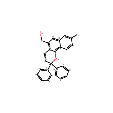 Cc1ccc2c3c(c(CO)cc2c1)C=CC(c1ccccc1)(c1ccccc1)O3